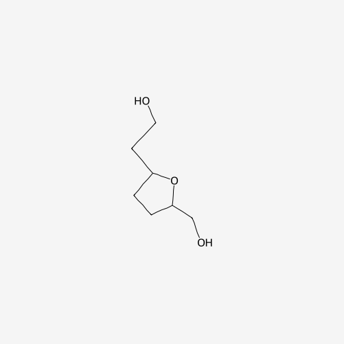 OCCC1CCC(CO)O1